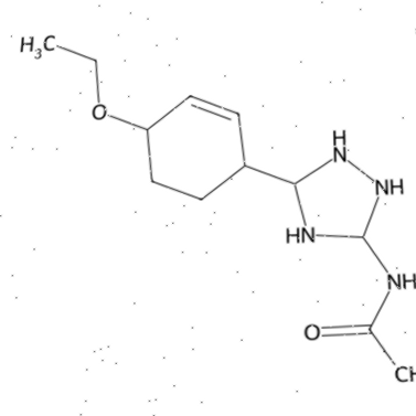 CCOC1C=CC(C2NNC(NC(C)=O)N2)CC1